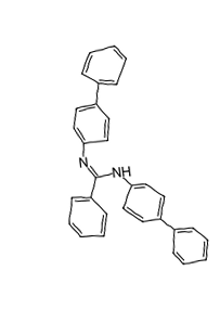 c1ccc(C(=Nc2ccc(-c3ccccc3)cc2)Nc2ccc(-c3ccccc3)cc2)cc1